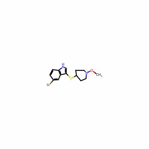 CON1CCC(Sc2c[nH]c3ccc(Br)cc23)CC1